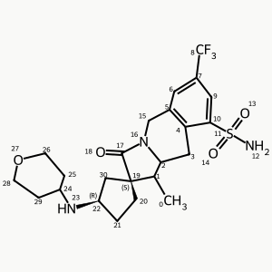 CC1C2Cc3c(cc(C(F)(F)F)cc3S(N)(=O)=O)CN2C(=O)[C@]12CC[C@@H](NC1CCOCC1)C2